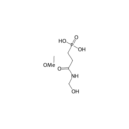 COC.O=C(CCP(=O)(O)O)NCO